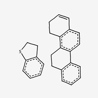 C1=Cc2ccc3c(c2CC1)CCc1ccccc1-3.c1ccc2c(c1)CCS2